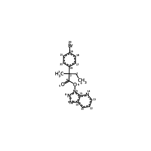 CCC(C)(C(=O)On1nnc2cccnc21)c1ccc(Br)cc1